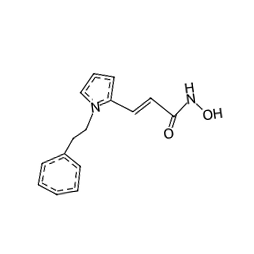 O=C(C=Cc1cccn1CCc1ccccc1)NO